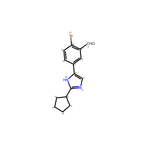 O=Cc1cc(-c2cnc(C3CCCC3)[nH]2)ccc1Br